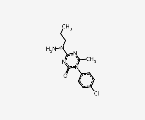 CCCN(N)c1nc(C)n(-c2ccc(Cl)cc2)c(=O)n1